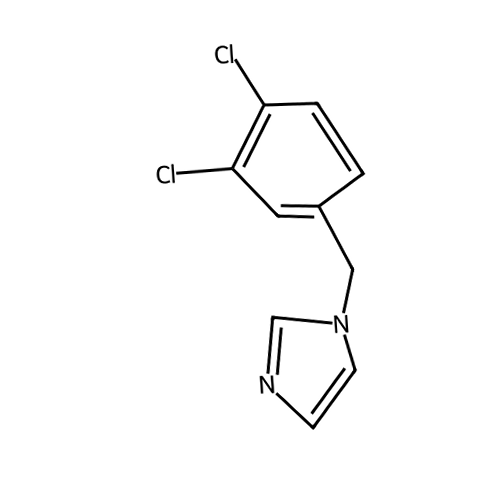 Clc1ccc(Cn2ccnc2)cc1Cl